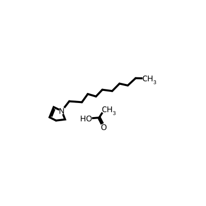 CC(=O)O.CCCCCCCCCCN1C=CCC1